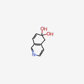 OC1(O)C=Cc2cnccc2C1